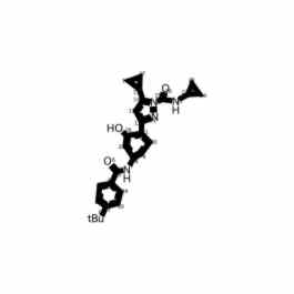 CC(C)(C)c1ccc(C(=O)Nc2ccc(-c3cc(C4CC4)n(C(=O)NC4CC4)n3)c(O)c2)cc1